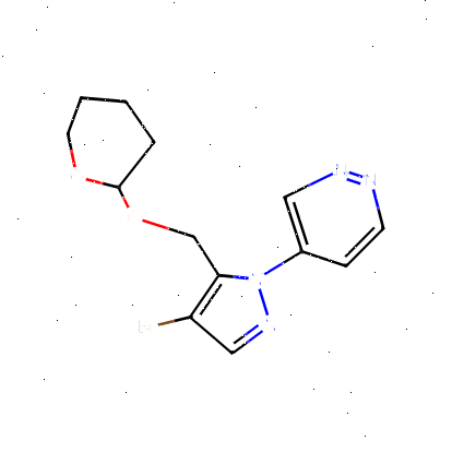 Brc1cnn(-c2ccnnc2)c1COC1CCCCO1